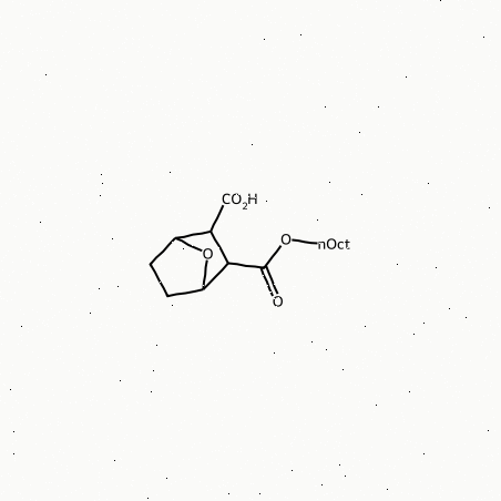 CCCCCCCCOC(=O)C1C2CCC(O2)C1C(=O)O